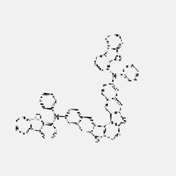 c1ccc(N(c2ccc3cc4c(cc3c2)sc2ccc3sc5cc6cc(N(c7ccccc7)c7cccc8c7oc7ccccc78)ccc6cc5c3c24)c2cccc3c2oc2ccccc23)cc1